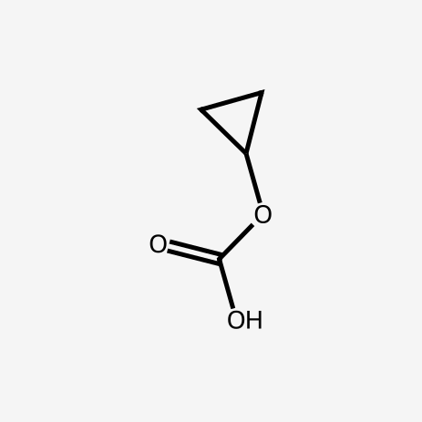 O=C(O)OC1CC1